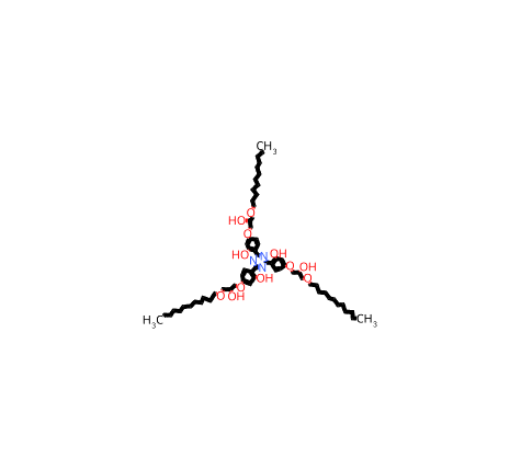 CCCCCCCCCCCCOCC(O)COc1ccc(-c2nc(-c3ccc(OCC(O)COCCCCCCCCCCCC)cc3O)nc(-c3ccc(OCC(O)COCCCCCCCCCCCC)cc3O)n2)c(O)c1